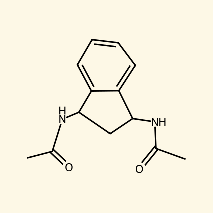 CC(=O)NC1CC(NC(C)=O)c2ccccc21